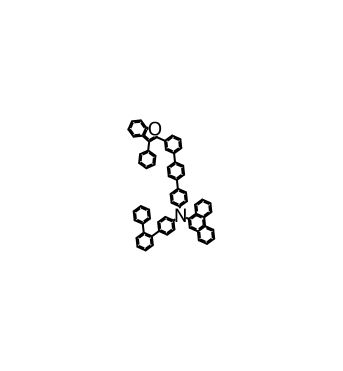 c1ccc(-c2ccccc2-c2ccc(N(c3ccc(-c4ccc(-c5cccc(-c6oc7ccccc7c6-c6ccccc6)c5)cc4)cc3)c3cc4ccccc4c4ccccc34)cc2)cc1